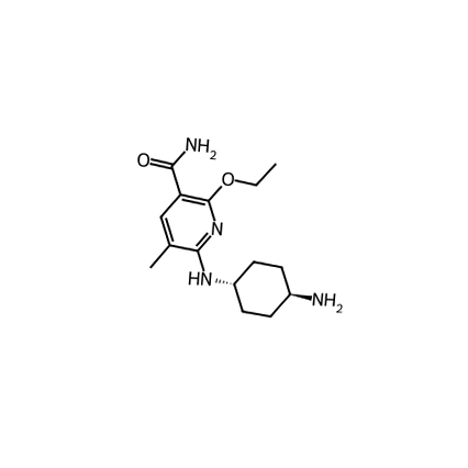 CCOc1nc(N[C@H]2CC[C@H](N)CC2)c(C)cc1C(N)=O